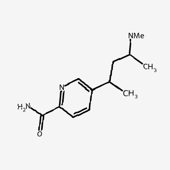 CNC(C)CC(C)c1ccc(C(N)=O)nc1